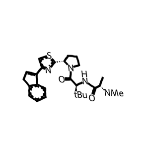 CN[C@@H](C)C(=O)N[C@H](C(=O)N1CCC[C@H]1c1nc(C2=CCc3ccccc32)cs1)C(C)(C)C